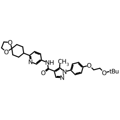 Cc1c(C(=O)Nc2ccc(C3CCC4(CC3)OCCO4)nc2)cnn1-c1ccc(OCCOC(C)(C)C)cc1